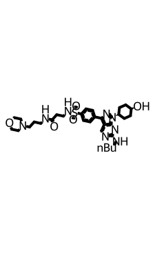 CCCCNc1ncc2c(-c3ccc(S(=O)(=O)NCCC(=O)NCCCN4CCOCC4)cc3)nn([C@H]3CC[C@H](O)CC3)c2n1